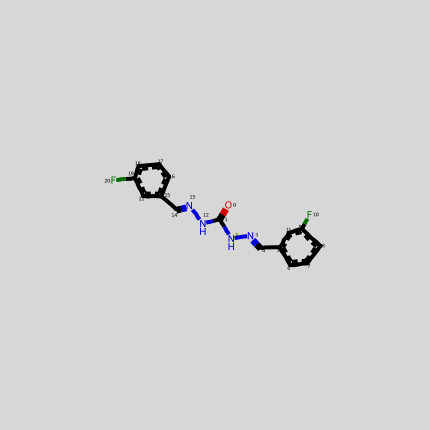 O=C(NN=Cc1cccc(F)c1)NN=Cc1cccc(F)c1